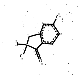 Cc1ccc2c(c1)CC(Cl)(Cl)C2=O